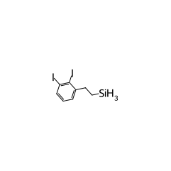 [SiH3]CCc1cccc(I)c1I